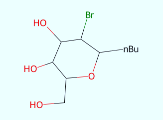 CCCCC1OC(CO)C(O)C(O)C1Br